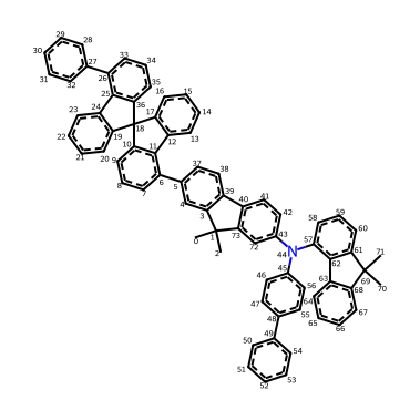 CC1(C)c2cc(-c3cccc4c3-c3ccccc3C43c4ccccc4-c4c(-c5ccccc5)cccc43)ccc2-c2ccc(N(c3ccc(-c4ccccc4)cc3)c3cccc4c3-c3ccccc3C4(C)C)cc21